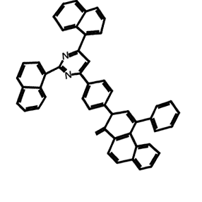 C=C1c2ccc3ccccc3c2C(c2ccccc2)=CC1c1ccc(-c2cc(-c3cccc4ccccc34)nc(-c3cccc4ccccc34)n2)cc1